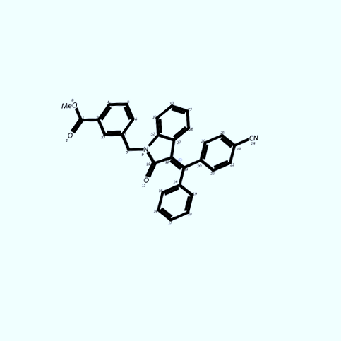 COC(=O)c1cccc(CN2C(=O)/C(=C(\c3ccccc3)c3ccc(C#N)cc3)c3ccccc32)c1